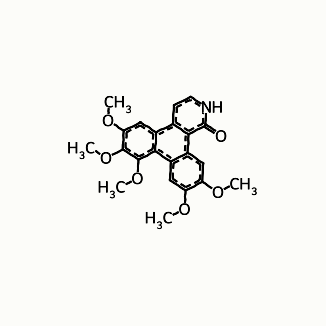 COc1cc2c(cc1OC)c1c(=O)[nH]ccc1c1cc(OC)c(OC)c(OC)c12